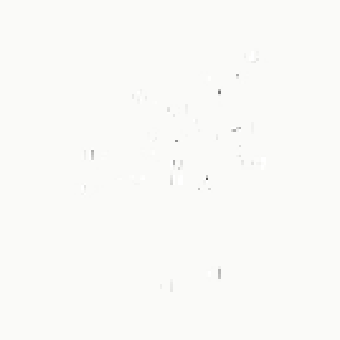 C=C(C)OC(=O)N[C@]1(C(=O)OC(C)(C)C)[C@@H]2[C@@H](C(=O)OC(C)(C)C)[C@@H]2[C@@H](O)[C@H]1OCc1ccc(Cl)c(Cl)c1